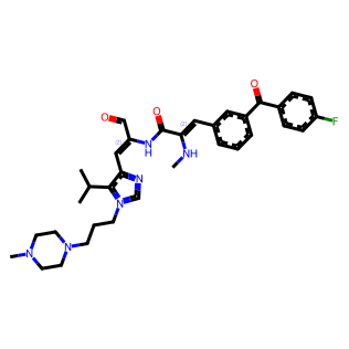 CN/C(=C\c1cccc(C(=O)c2ccc(F)cc2)c1)C(=O)N/C(C=O)=C\c1ncn(CCCN2CCN(C)CC2)c1C(C)C